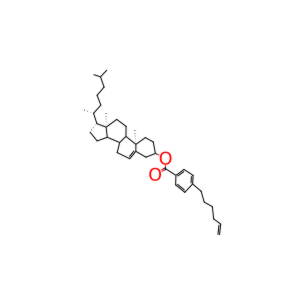 C=CCCCCc1ccc(C(=O)OC2CC[C@@]3(C)C(=CCC4C3CC[C@@]3(C)C4CC[C@@H]3[C@H](C)CCCC(C)C)C2)cc1